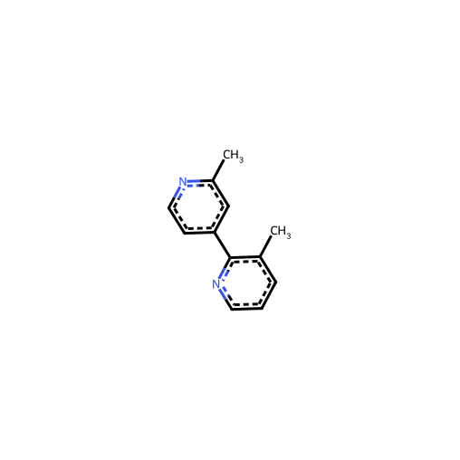 Cc1cc(-c2ncccc2C)ccn1